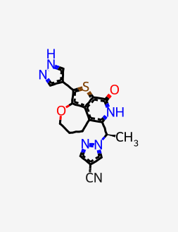 C[C@H](c1[nH]c(=O)c2sc(-c3cn[nH]c3)c3c2c1CCCO3)n1cc(C#N)cn1